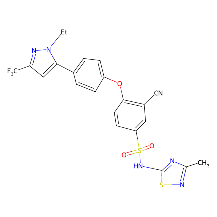 CCn1nc(C(F)(F)F)cc1-c1ccc(Oc2ccc(S(=O)(=O)Nc3nc(C)ns3)cc2C#N)cc1